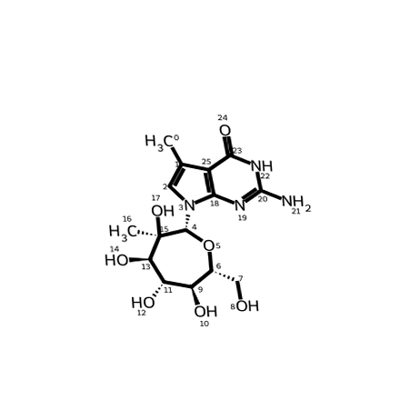 Cc1cn([C@@H]2O[C@H](CO)[C@@H](O)[C@H](O)[C@@H](O)[C@@]2(C)O)c2nc(N)[nH]c(=O)c12